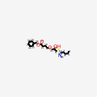 C=N/C(=C\C=C/C)SCC(O)COCCCC(=O)OCc1ccccc1